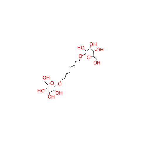 OCC1O[C@@H](OCCC=CC=CCCO[C@H]2OC(CO)[C@@H](O)[C@H](O)C2O)C(O)C(O)[C@H]1O